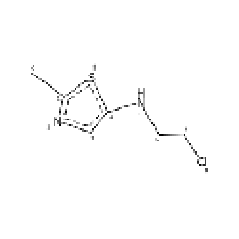 Cc1ncc(NCCCl)s1